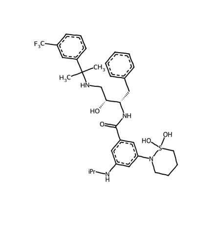 CC(C)Nc1cc(C(=O)N[C@@H](Cc2ccccc2)[C@H](O)CNC(C)(C)c2cccc(C(F)(F)F)c2)cc(N2CCCCS2(O)O)c1